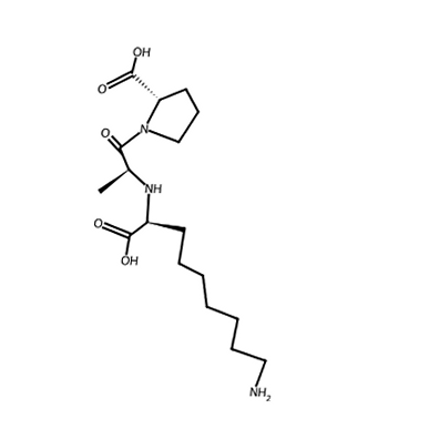 C[C@H](N[C@@H](CCCCCCCN)C(=O)O)C(=O)N1CCC[C@H]1C(=O)O